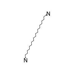 N#CCCCCCCCCCCCCCCCCCCCC#N